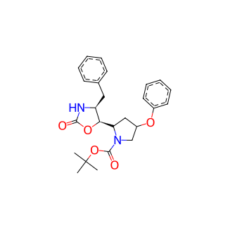 CC(C)(C)OC(=O)N1CC(Oc2ccccc2)CC1[C@H]1OC(=O)N[C@H]1Cc1ccccc1